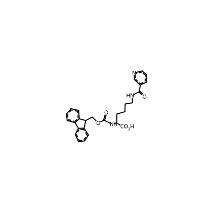 O=C(N[C@@H](CCCCNC(=O)c1cccnc1)C(=O)O)OCC1c2ccccc2-c2ccccc21